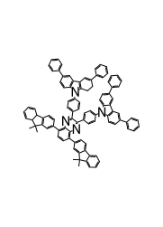 CC1(C)c2ccccc2-c2ccc(-c3ccc(-c4ccc5c(c4)C(C)(C)C4C=CC=CC54)c4nc(-c5ccc(-n6c7c(c8cc(-c9ccccc9)ccc86)C=C(c6ccccc6)CC7)cc5)c(-c5ccc(-n6c7ccc(-c8ccccc8)cc7c7cc(-c8ccccc8)ccc76)cc5)nc34)cc21